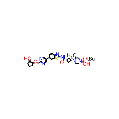 C[C@H]1CN([C@@H](O)OC(C)(C)C)CCN1[C@H]1C[C@@H](C(=O)Nc2nc3ccc(-c4cnc(CO[C@H]5CCC[C@@H]5O)nc4)cc3s2)C1